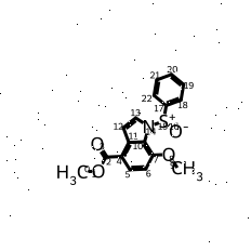 COC(=O)c1ccc(OC)c2c1ccn2[S+]([O-])c1ccccc1